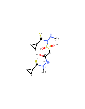 CCNN(C(=S)C1CC1)S(=O)(=O)CC(=O)NN(CC)C(=S)C1CC1